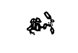 N#Cc1cccc2c1-c1ccc(-c3ccc(-c4cc(-c5ccccc5)nc(-c5cccc(-c6ccccc6)c5)n4)cc3)cc1C21c2ccccc2-c2ccccc21